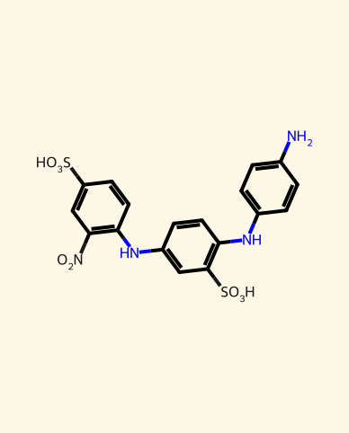 Nc1ccc(Nc2ccc(Nc3ccc(S(=O)(=O)O)cc3[N+](=O)[O-])cc2S(=O)(=O)O)cc1